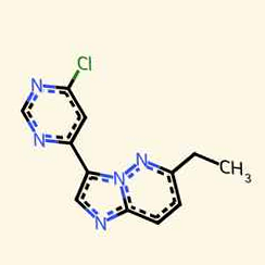 CCc1ccc2ncc(-c3cc(Cl)ncn3)n2n1